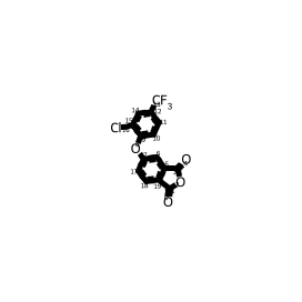 O=C1OC(=O)c2cc(Oc3ccc(C(F)(F)F)cc3Cl)ccc21